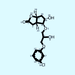 O=C1C[C@H]2[C@H](OCC(O)COc3cccc(Cl)c3)[C@@H](O)C[C@H]2O1